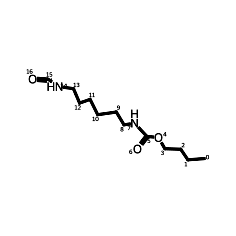 CCCCOC(=O)NCCCCCCN[C]=O